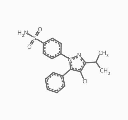 CC(C)c1nn(-c2ccc(S(N)(=O)=O)cc2)c(-c2ccccc2)c1Cl